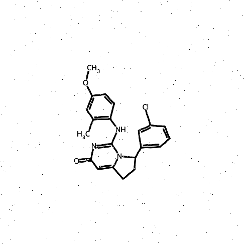 COc1ccc(Nc2nc(=O)cc3n2C(c2cccc(Cl)c2)CC3)c(C)c1